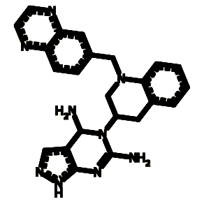 NC1=Nc2[nH]ncc2C(N)N1C1Cc2ccccc2N(Cc2ccc3nccnc3c2)C1